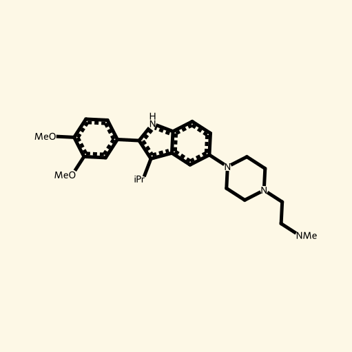 CNCCN1CCN(c2ccc3[nH]c(-c4ccc(OC)c(OC)c4)c(C(C)C)c3c2)CC1